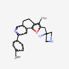 COc1ccc(-c2cc3c(cn2)CCc2c-3oc(CC3(N)CNC3)c2C(=O)O)cc1